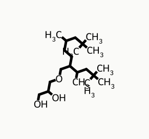 CC(CCC(COCC(O)CO)C(C)CC(C)(C)C)CC(C)(C)C